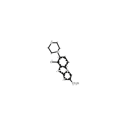 CCOC(=O)c1cn2c(n1)sc1c(Cl)c(N3CCOCC3)ccc12